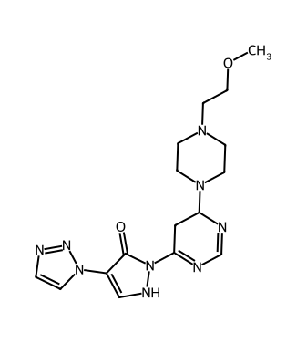 COCCN1CCN(C2CC(n3[nH]cc(-n4ccnn4)c3=O)=NC=N2)CC1